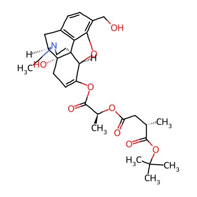 C[C@H](OC(=O)C[C@H](C)C(=O)OC(C)(C)C)C(=O)OC1=CC[C@@]2(O)[C@H]3Cc4ccc(CO)c5c4[C@@]2(CCN3C)[C@H]1O5